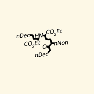 CCCCCCCCCCCCC(NC(CCC(CCCCCCCCC)C(=O)CCCCCCCCCCC)C(=O)OCC)C(=O)OCC